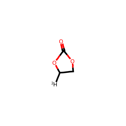 [2H]C1COC(=O)O1